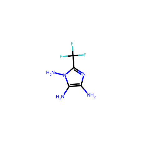 Nc1nc(C(F)(F)F)n(N)c1N